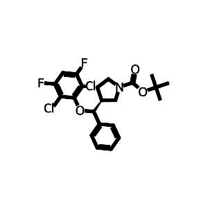 CC(C)(C)OC(=O)N1CC[C@H](C(Oc2c(Cl)c(F)cc(F)c2Cl)c2ccccc2)C1